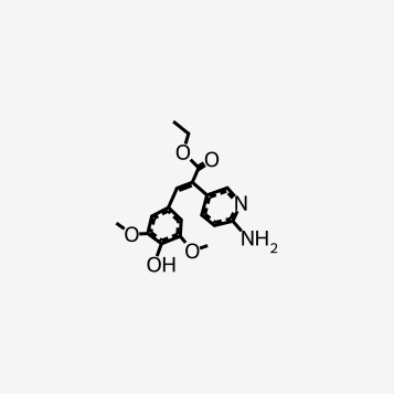 CCOC(=O)/C(=C/c1cc(OC)c(O)c(OC)c1)c1ccc(N)nc1